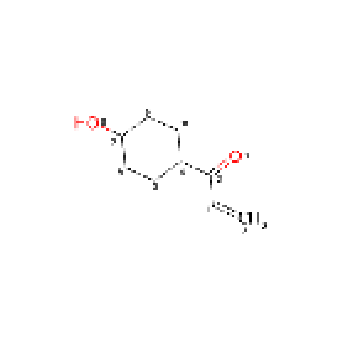 C=CC(=O)C1CCC(O)CC1